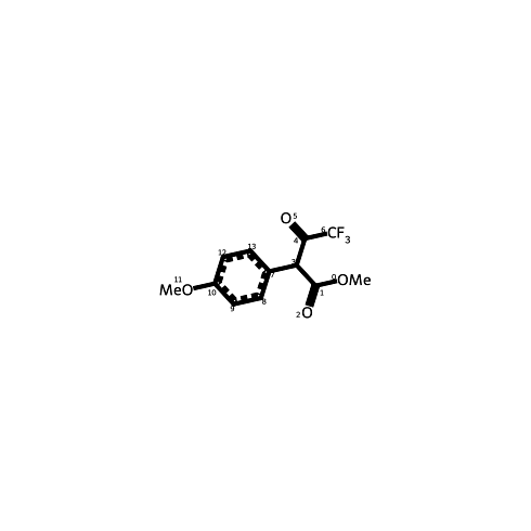 COC(=O)C(C(=O)C(F)(F)F)c1ccc(OC)cc1